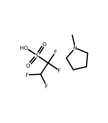 CN1CCCC1.O=S(=O)(O)C(F)(F)C(F)F